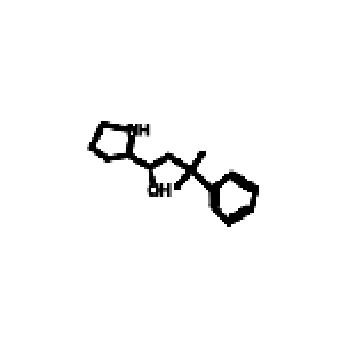 CC(C)(C[C@@H](O)C1CCCN1)c1ccccc1